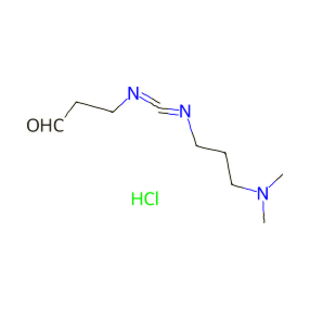 CN(C)CCCN=C=NCCC=O.Cl